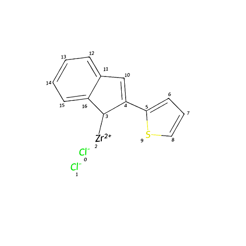 [Cl-].[Cl-].[Zr+2][CH]1C(c2cccs2)=Cc2ccccc21